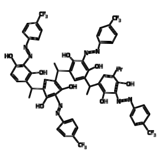 CC(C)c1cc(C(C)c2cc(C(C)c3cc(C(C)c4ccc(O)c(N=Nc5ccc(C(F)(F)F)cc5)c4O)c(O)c(N=Nc4ccc(C(F)(F)F)cc4)c3O)c(O)c(N=Nc3ccc(C(F)(F)F)cc3)c2O)c(O)c(N=Nc2ccc(C(F)(F)F)cc2)c1O